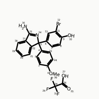 COc1ccc(C2(c3ccc(O)c(Br)c3)N=C(N)c3ccccc32)cc1.O=C(O)C(F)(F)F